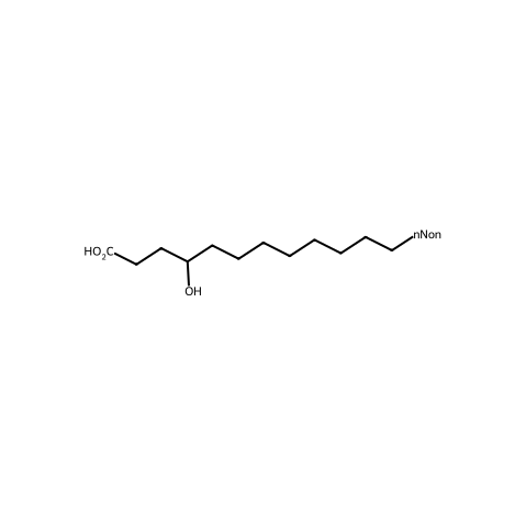 CCCCCCCCCCCCCCCCCC(O)CCC(=O)O